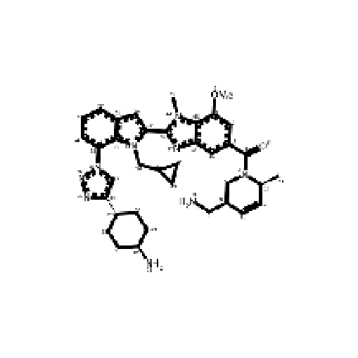 COc1cc(C(=O)N2CC(CN)C=C[C@@H]2C)cc2nc(-c3cc4cccc(-n5cc([C@H]6CC[C@H](N)CC6)nn5)c4n3CC3CC3)n(C)c12